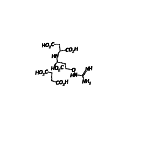 N=C(N)NOCC[C@H](NC(CC(=O)O)C(=O)O)C(=O)O.O=C(O)CCC(=O)O